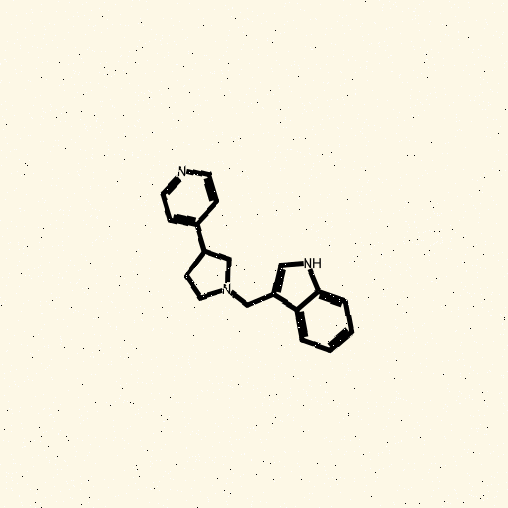 c1ccc2c(CN3CCC(c4ccncc4)C3)c[nH]c2c1